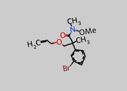 C=CCOCC(C)(C(=O)N(C)OC)c1cccc(Br)c1